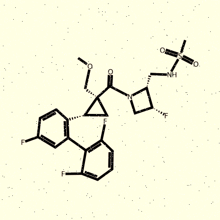 COC[C@]1(C(=O)N2C[C@@H](F)[C@H]2CNS(C)(=O)=O)C[C@@H]1c1ccc(F)cc1-c1c(F)cccc1F